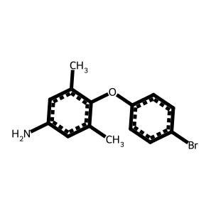 Cc1cc(N)cc(C)c1Oc1ccc(Br)cc1